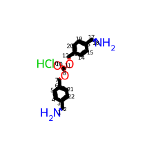 Cl.NCc1ccc(COC(=O)OCc2ccc(CN)cc2)cc1